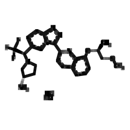 COC[C@H](C)Oc1cccc2ccc(-c3nnc4ccc([C@@H](N5CC[C@H](N)C5)C(F)(F)F)cn34)nc12.Cl.Cl